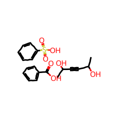 CC(O)C#CC(C)O.O=C(O)c1ccccc1.O=S(=O)(O)c1ccccc1